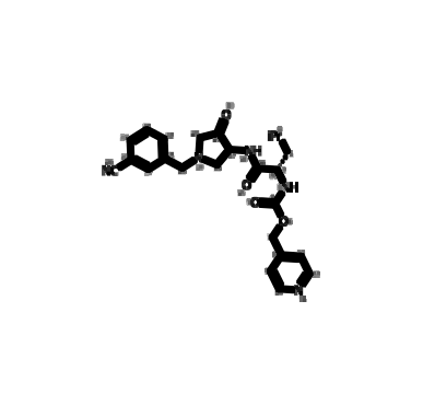 CC(C)C[C@H](NC(=O)OCc1ccncc1)C(=O)NC1CN(Cc2cccc(C#N)c2)CC1=O